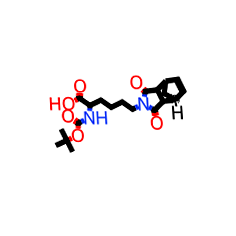 CC(C)(C)OC(=O)NC(CCCCN1C(=O)C2C3C=C[C@H](C3)C2C1=O)C(=O)O